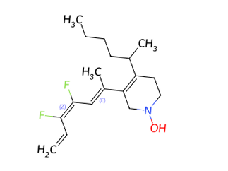 C=C/C(F)=C(F)\C=C(/C)C1=C(C(C)CCCC)CCN(O)C1